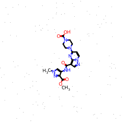 COC(=O)c1nn(C)cc1NC(=O)c1cnn2ccc(N3CCN(C(=O)O)CC3)nc12